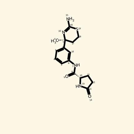 C[C@@]1(c2cccc(NC(=O)[C@@H]3CCC(=O)N3)c2)CCSC(N)=N1